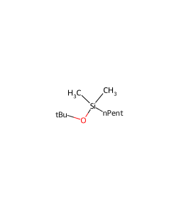 CCCCC[Si](C)(C)OC(C)(C)C